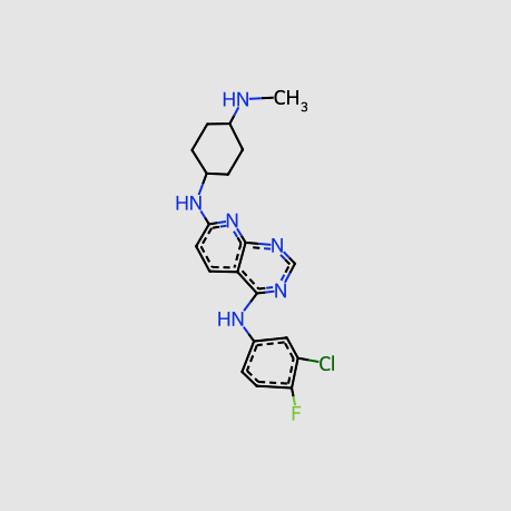 CNC1CCC(Nc2ccc3c(Nc4ccc(F)c(Cl)c4)ncnc3n2)CC1